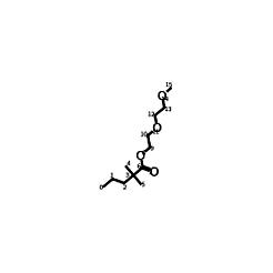 CCCC(C)(C)C(=O)OCCOCCOC